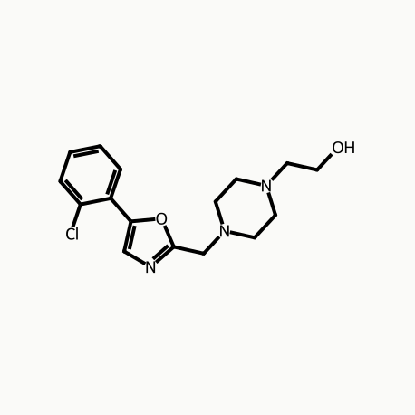 OCCN1CCN(Cc2ncc(-c3ccccc3Cl)o2)CC1